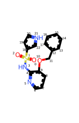 O=S(=O)(Nc1ncccc1OCc1ccccc1)c1cc[nH]c1